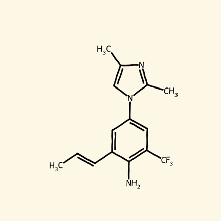 C/C=C/c1cc(-n2cc(C)nc2C)cc(C(F)(F)F)c1N